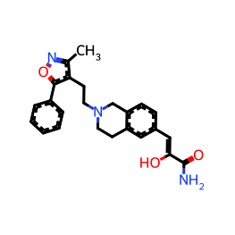 Cc1noc(-c2ccccc2)c1CCN1CCc2cc(C=C(O)C(N)=O)ccc2C1